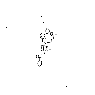 CCC(=O)CCCCC[C@H](NC(=O)CCCC(=O)c1ccccc1)C(=O)NCc1csc(-c2ccccc2)n1